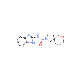 O=C(Nc1nc2ccccc2[nH]1)N1CCC2(CCCOC2)C1